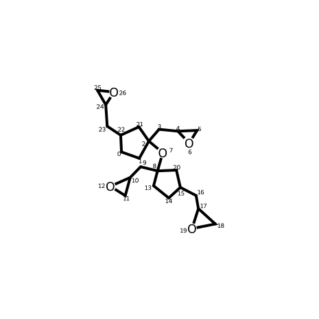 C1CC(CC2CO2)(OC2(CC3CO3)CCC(CC3CO3)C2)CC1CC1CO1